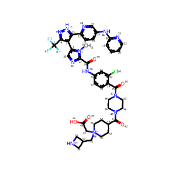 Cn1c(-c2c(C(F)(F)F)n[nH]c2-c2ccc(Nc3ccccn3)cn2)cnc1C(=O)Nc1ccc(C(=O)N2CCN(C(=O)C3CC[N+](CC(=O)O)(CC4CNC4)CC3)CC2)c(Cl)c1